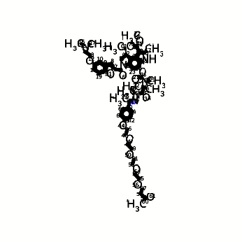 CC[C@@H]1CN(C(=O)c2cc3cc(OCCN(C)C)ccc3o2)c2cc(OC(=O)N(C)C(C)(C)C(=O)N(C)/N=C(\C)c3ccc(OCCOCCOCCOCCOCCC(C)=O)cc3)c3[nH]c(C)c(C(=O)OC)c3c21